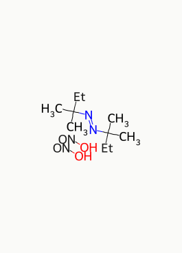 CCC(C)(C)N=NC(C)(C)CC.O=NO.O=NO